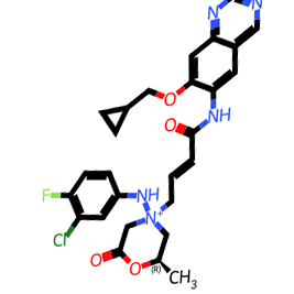 C[C@@H]1C[N+](CC=CC(=O)Nc2cc3cncnc3cc2OCC2CC2)(Nc2ccc(F)c(Cl)c2)CC(=O)O1